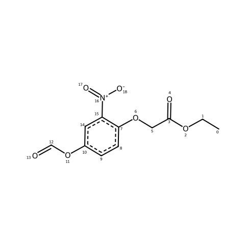 CCOC(=O)COc1ccc(OC=O)cc1[N+](=O)[O-]